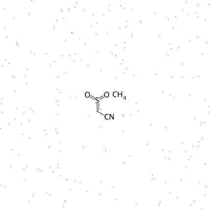 C.N#CC=S(=O)=O